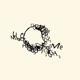 CO[C@H]1C[C@@H]2CC[C@@H](C)[C@@](O)(O2)C(=O)C(=O)N2CCCC[C@H]2C(=O)O[C@H]([C@H](C)C[C@@H]2CC[C@@H](OP(C)(C)=O)[C@H](OC)C2)CC(=O)[C@H](C)/C=C(\C)[C@@H](O)[C@@H](OC)C(=O)[C@H](C)C[C@H](C)/C=C/C=C/C=C\1C